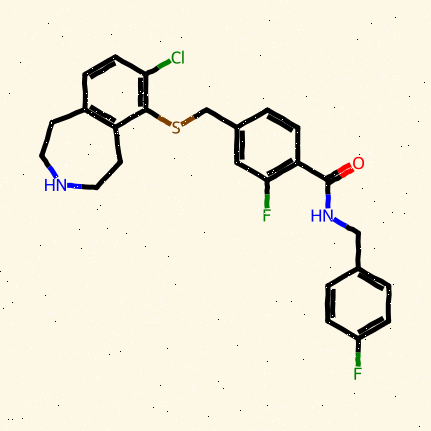 O=C(NCc1ccc(F)cc1)c1ccc(CSc2c(Cl)ccc3c2CCNCC3)cc1F